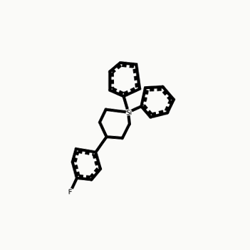 Fc1ccc(C2CC[Si](c3ccccc3)(c3ccccc3)CC2)cc1